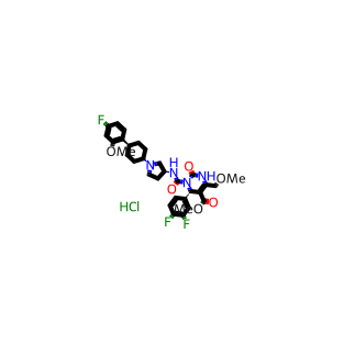 COCC1=C(C(=O)OC)[C@H](c2ccc(F)c(F)c2)N(C(=O)N[C@@H]2CCN([C@H]3CC[C@H](c4ccc(F)cc4OC)CC3)C2)C(=O)N1.Cl